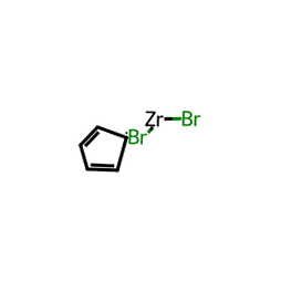 [Br][Zr][Br].[CH]1C=CC=C1